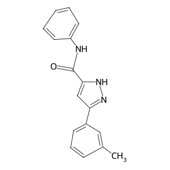 Cc1cccc(-c2cc(C(=O)Nc3ccccc3)[nH]n2)c1